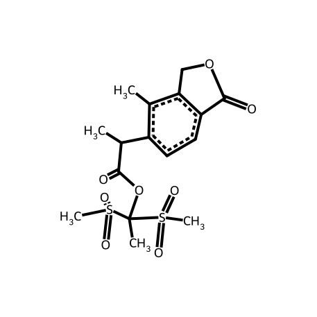 Cc1c(C(C)C(=O)OC(C)(S(C)(=O)=O)S(C)(=O)=O)ccc2c1COC2=O